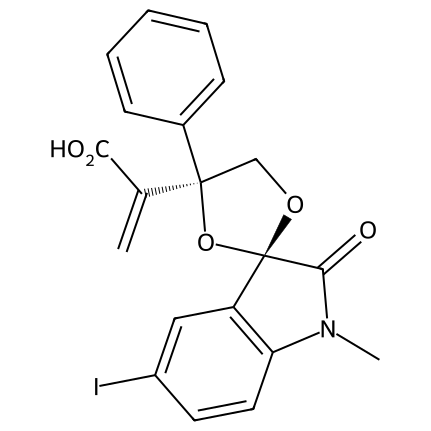 C=C(C(=O)O)[C@]1(c2ccccc2)CO[C@@]2(O1)C(=O)N(C)c1ccc(I)cc12